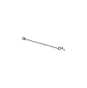 CCCCCCCCCCCCCCCCCCCCCCCCCCC[C]=O